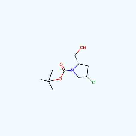 CC(C)(C)OC(=O)N1C[C@@H](Cl)C[C@H]1CO